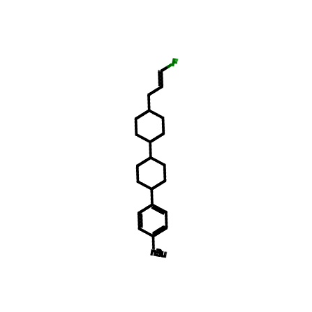 CCCCc1ccc(C2CCC(C3CCC(CC=CF)CC3)CC2)cc1